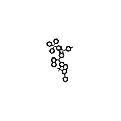 CC1(C)c2cc(-c3ccccc3)cc3ccc4cc(N(c5ccc6c(c5)c5cc([Si](c7ccccc7)(c7ccccc7)c7ccccc7)ccc5n6-c5ccc(F)cc5)c5cccc6ccccc56)cc1c4c23